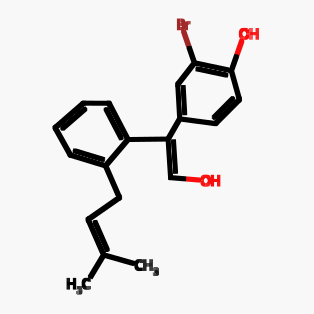 CC(C)=CCc1ccccc1C(=CO)c1ccc(O)c(Br)c1